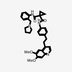 COc1cc2nccc(CCc3ccc(NC(=O)C4(C(=O)Nc5ccccc5CN5CCCC5)CC4)cc3)c2cc1OC